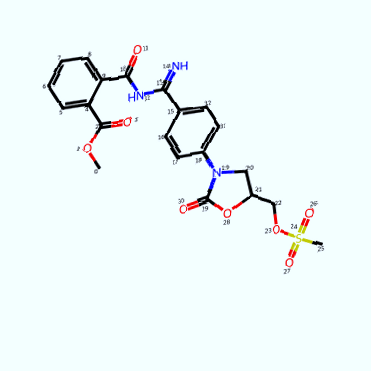 COC(=O)c1ccccc1C(=O)NC(=N)c1ccc(N2CC(COS(C)(=O)=O)OC2=O)cc1